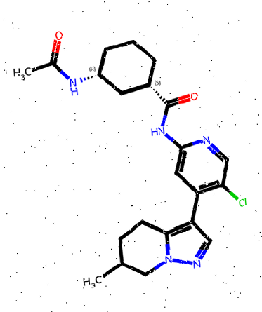 CC(=O)N[C@@H]1CCC[C@H](C(=O)Nc2cc(-c3cnn4c3CCC(C)C4)c(Cl)cn2)C1